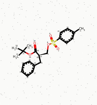 Cc1ccc(S(=O)(=O)OC[C@@H](Cc2ccccc2)C(=O)OC(C)(C)C)cc1